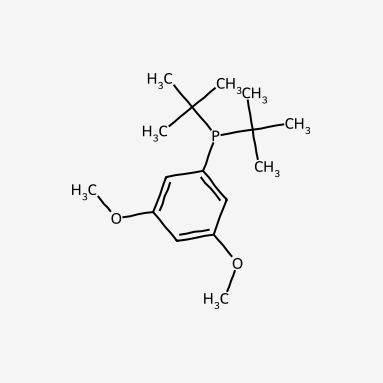 COc1cc(OC)cc(P(C(C)(C)C)C(C)(C)C)c1